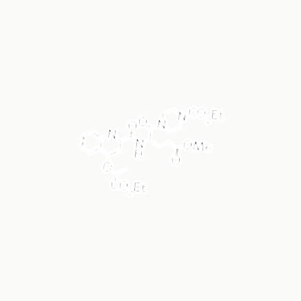 CCOC(=O)C(C)Oc1cc(C(=O)NC(CCC(=O)OC)C(=O)N2CCN(C(=O)OCC)CC2)nc2ccccc12